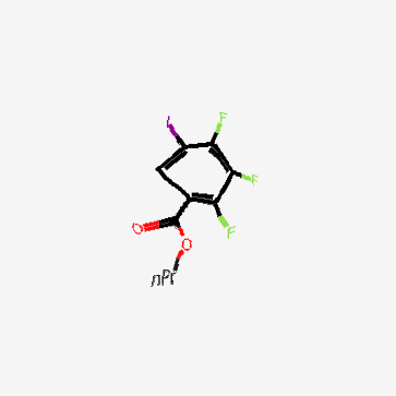 CCCOC(=O)c1cc(I)c(F)c(F)c1F